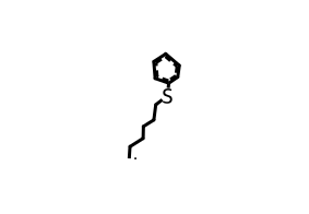 [CH2]CCCCCSc1ccccc1